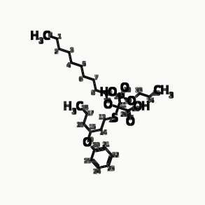 CCCCCCCCCCOC(SCCC(CCC)Oc1ccccc1)(C(=O)O)P(=O)(O)OCCC